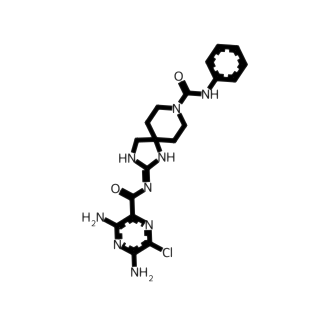 Nc1nc(N)c(C(=O)/N=C2\NCC3(CCN(C(=O)Nc4ccccc4)CC3)N2)nc1Cl